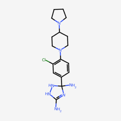 NC1=NC(N)(c2ccc(N3CCC(N4CCCC4)CC3)c(Cl)c2)NN1